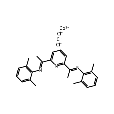 CC(=Nc1c(C)cccc1C)c1cccc(C(C)=Nc2c(C)cccc2C)n1.[Cl-].[Cl-].[Cl-].[Co+3]